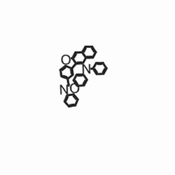 c1ccc(N(c2ccccc2)c2c3ccccc3cc3oc4ccc(-c5nc6ccccc6o5)cc4c23)cc1